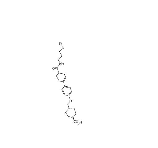 CCOCCCNC(=O)C1CC=C(c2ccc(OCC3CCN(C(=O)O)CC3)cc2)CC1